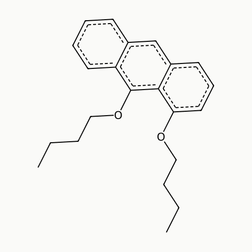 CCCCOc1cccc2cc3ccccc3c(OCCCC)c12